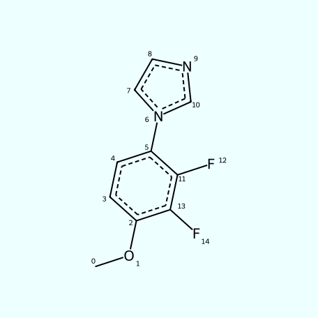 COc1ccc(-n2ccnc2)c(F)c1F